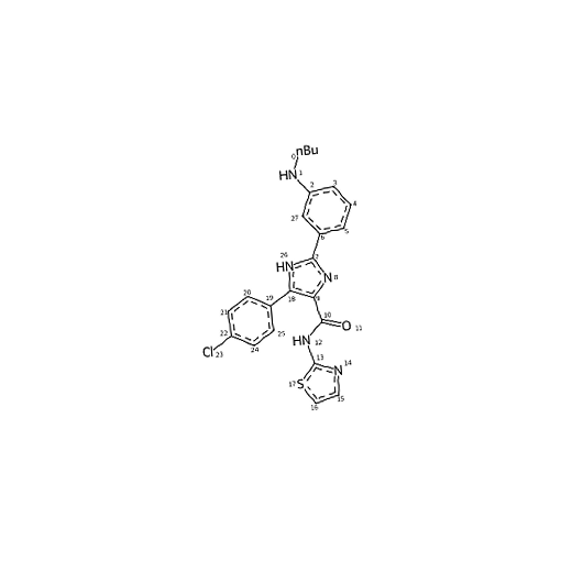 CCCCNc1cccc(-c2nc(C(=O)Nc3nccs3)c(-c3ccc(Cl)cc3)[nH]2)c1